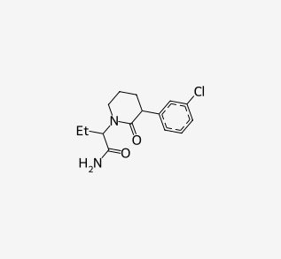 CCC(C(N)=O)N1CCCC(c2cccc(Cl)c2)C1=O